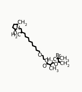 C=C(CCCCCCCCCOCCOC(=O)C(C)COC(=C)C(C)(C)Br)CN1C(=C)CCC1=O